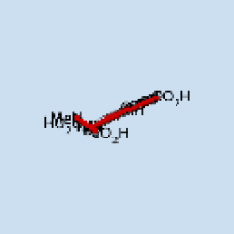 CN[C@@H](CCCCNC(=O)[C@H](CCC(=O)O)NC(=O)CCCCCCCCCCCCCCCCC(=O)NCCOCCOCCOCCOCCC(=O)O)C(=O)O